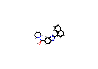 O=C(c1ccc2[nH]c(-c3cccc4ccccc34)nc2c1)N1CCCCC1